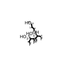 O=S(=O)(O)C(CF)CF.O=S(=O)(O)C(CF)CF.OCCCO